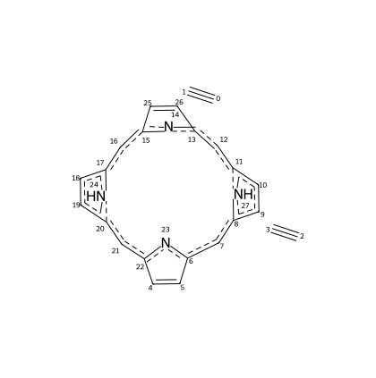 C#C.C#C.C1=Cc2cc3ccc(cc4nc(cc5ccc(cc1n2)[nH]5)C=C4)[nH]3